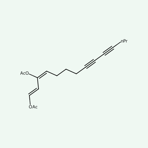 CCCC#CC#CCCCC=C(C=COC(C)=O)OC(C)=O